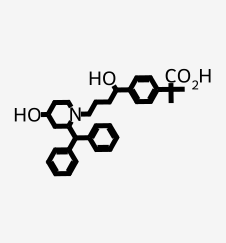 CC(C)(C(=O)O)c1ccc(C(O)CCCN2CCC(O)CC2C(c2ccccc2)c2ccccc2)cc1